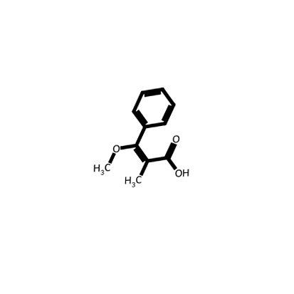 CO/C(=C(\C)C(=O)O)c1ccccc1